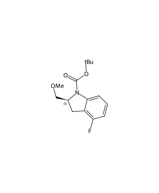 COC[C@@H]1Cc2c(F)cccc2N1C(=O)OC(C)(C)C